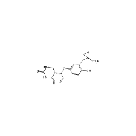 O=C1NCc2c(Oc3ccc(O)c(C4C5CC54C(=O)O)c3)ccnc2N1